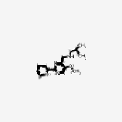 COc1cnc(-c2ccccn2)nc1CNCC(C)C